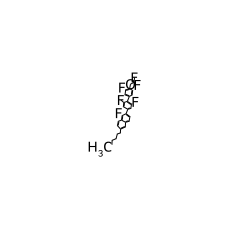 CCCCCCc1ccc2c(F)c(-c3cc(F)c(-c4ccc(OC(F)F)c(F)c4)c(F)c3)ccc2c1